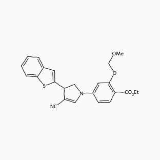 CCOC(=O)c1ccc(N2C=C(C#N)C(c3cc4ccccc4s3)C2)cc1OCOC